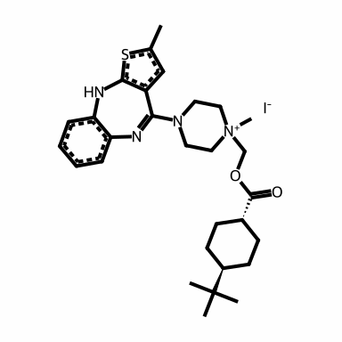 Cc1cc2c(s1)Nc1ccccc1N=C2N1CC[N+](C)(COC(=O)[C@H]2CC[C@H](C(C)(C)C)CC2)CC1.[I-]